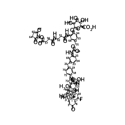 C[C@]12C=CC(=O)C=C1[C@@H](F)C[C@H]1[C@@H]3C[C@H]4CN(c5ccc(Cc6cccc(NC(=O)OCc7ccc(O[C@@H]8O[C@H](C(=O)O)[C@@H](O)[C@H](O)[C@H]8O)c(NC(=O)CCNC(=O)CCC(=O)ON8C(=O)CCC8=O)c7)c6)cc5)C[C@@]4(C(=O)CO)[C@@]3(C)C[C@H](O)[C@@]12F